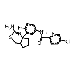 NC1=NC2(c3cc(NC(=O)c4ccc(Cl)cn4)ccc3F)CCCC2CS1